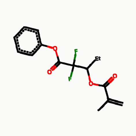 C=C(C)C(=O)OC(CC)C(F)(F)C(=O)Oc1ccccc1